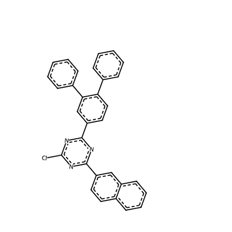 Clc1nc(-c2ccc(-c3ccccc3)c(-c3ccccc3)c2)nc(-c2ccc3ccccc3c2)n1